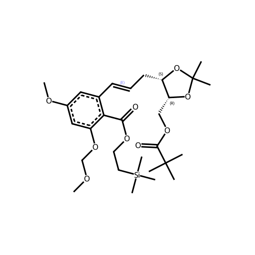 COCOc1cc(OC)cc(/C=C/C[C@@H]2OC(C)(C)O[C@@H]2COC(=O)C(C)(C)C)c1C(=O)OCC[Si](C)(C)C